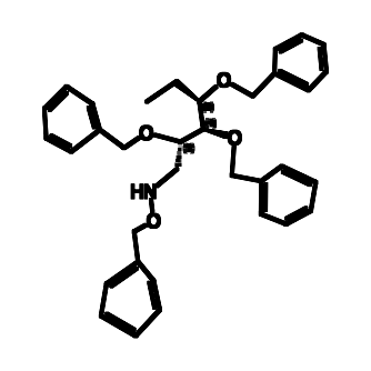 CC[C@@H](OCc1ccccc1)[C@@H](OCc1ccccc1)[C@H](CNOCc1ccccc1)OCc1ccccc1